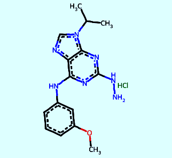 COc1cccc(Nc2nc(NN)nc3c2ncn3C(C)C)c1.Cl